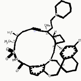 CO[C@@]1(CCN2CCCCC2)/C=C/C[C@H](C)[C@@H](C)S(=O)(=O)NC(=O)c2ccc3c(c2)N(C[C@@H]2CC[C@H]21)C[C@@]1(CCCc2cc(Cl)ccc21)CO3